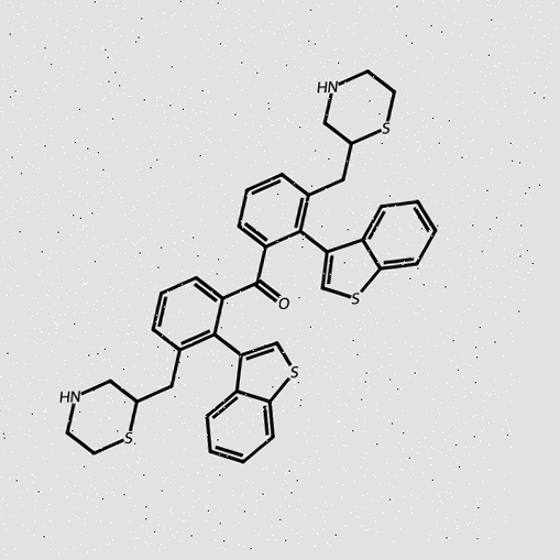 O=C(c1cccc(CC2CNCCS2)c1-c1csc2ccccc12)c1cccc(CC2CNCCS2)c1-c1csc2ccccc12